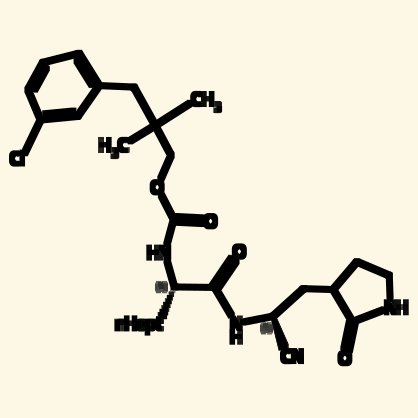 CCCCCCC[C@H](NC(=O)OCC(C)(C)Cc1cccc(Cl)c1)C(=O)N[C@H](C#N)CC1CCNC1=O